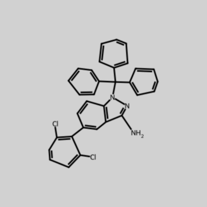 Nc1nn(C(c2ccccc2)(c2ccccc2)c2ccccc2)c2ccc(-c3c(Cl)cccc3Cl)cc12